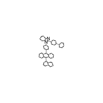 c1ccc(-c2ccc(-c3nc4ccccc4n3-c3ccc(-c4c5ccccc5c(-c5cccc6ccccc56)c5ccccc45)cc3)cc2)cc1